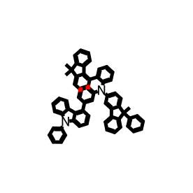 CC1(C)c2ccccc2-c2c(-c3ccccc3N(c3cccc(-c4cccc5c4c4ccccc4n5-c4ccccc4)c3)c3ccc4c(c3)-c3ccccc3C4(C)c3ccccc3)cccc21